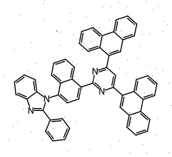 c1ccc(-c2nc3ccccc3n2-c2ccc(-c3nc(-c4cc5ccccc5c5ccccc45)cc(-c4cc5ccccc5c5ccccc45)n3)c3ccccc23)cc1